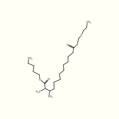 CCCCCOC(=O)CCCCCCCCCC(C)C(C)C(=O)OCCCCC